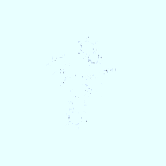 CCCC(NC(=O)C(CC(=O)N1CCOCC1)CC1(Cc2ccccc2)CC1)[C@H](O)c1nc2ccccc2o1